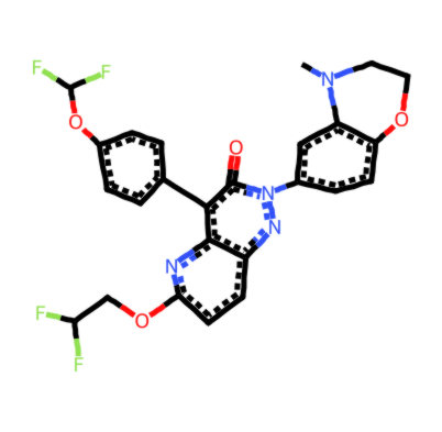 CN1CCOc2ccc(-n3nc4ccc(OCC(F)F)nc4c(-c4ccc(OC(F)F)cc4)c3=O)cc21